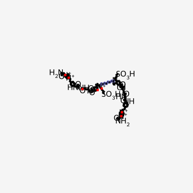 CN(CCCC(=O)NCC(=O)Nc1ccc(CC[N+]23CC[N+](CC(N)=O)(CC2)CC3)cc1)S(=O)(=O)c1ccc2c(c1)C(C)(C)C(/C=C/C=C/C=C/C=C1/N(CCCS(=O)(=O)O)c3ccc(S(=O)(=O)N(C)CCCC(=O)NCC(=O)Nc4ccc(CC[N+]56CC[N+](CC(N)=O)(CC5)CC6)cc4)cc3C1(C)C)=[N+]2CCCS(=O)(=O)O